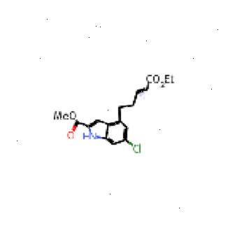 CCOC(=O)/C=C/CCc1cc(Cl)cc2[nH]c(C(=O)OC)cc12